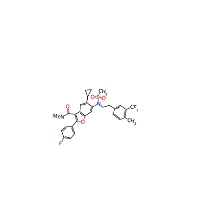 CNC(=O)c1c(-c2ccc(F)cc2)oc2cc(N(CCc3ccc(C)c(C(F)(F)F)c3)S(C)(=O)=O)c(C3CC3)cc12